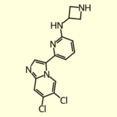 Clc1cc2ncc(-c3cccc(NC4CNC4)n3)n2cc1Cl